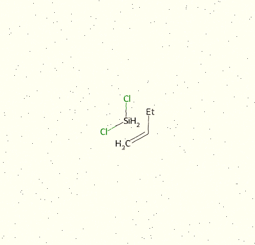 C=CCC.Cl[SiH2]Cl